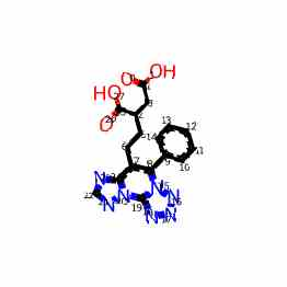 O=C(O)CC(CCc1c(-c2ccccc2)n2nnnc2n2ncnc12)C(=O)O